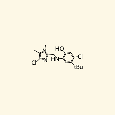 Cc1c(Cl)nc(CNc2cc(C(C)(C)C)c(Cl)cc2O)n1C